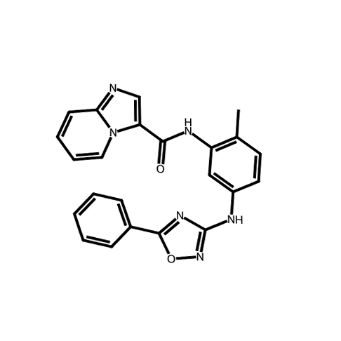 Cc1ccc(Nc2noc(-c3ccccc3)n2)cc1NC(=O)c1cnc2ccccn12